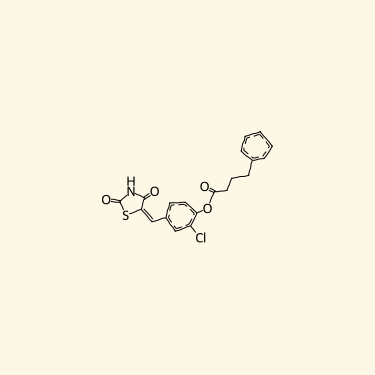 O=C(CCCc1ccccc1)Oc1ccc(C=C2SC(=O)NC2=O)cc1Cl